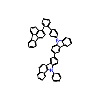 c1ccc(-n2c3ccc(-c4ccc5c(c4)c4ccccc4n5-c4ccc(-c5ccccc5-c5ccc6c7c(cccc57)-c5ccccc5-6)cc4)cc3c3ccc4ccccc4c32)cc1